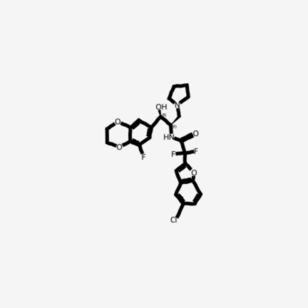 O=C(N[C@H](CN1CCCC1)[C@H](O)c1cc(F)c2c(c1)OCCO2)C(F)(F)c1cc2cc(Cl)ccc2o1